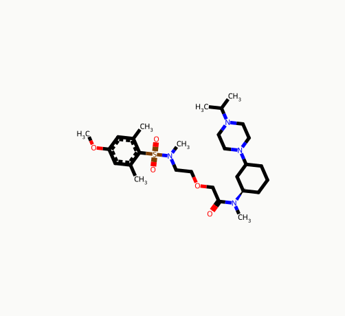 COc1cc(C)c(S(=O)(=O)N(C)CCOCC(=O)N(C)[C@@H]2CCCC(N3CCN(C(C)C)CC3)C2)c(C)c1